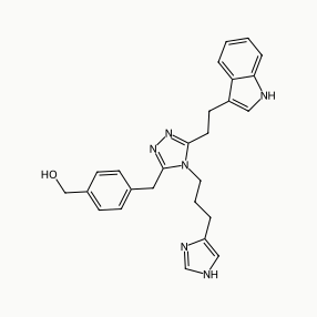 OCc1ccc(Cc2nnc(CCc3c[nH]c4ccccc34)n2CCCc2c[nH]cn2)cc1